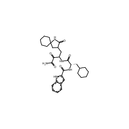 NC(=O)C(=O)C(CC1CC2(CCCCC2)NC1=O)NC(=O)[C@H](CC1CCCCC1)NC(=O)c1cc2ccccc2[nH]1